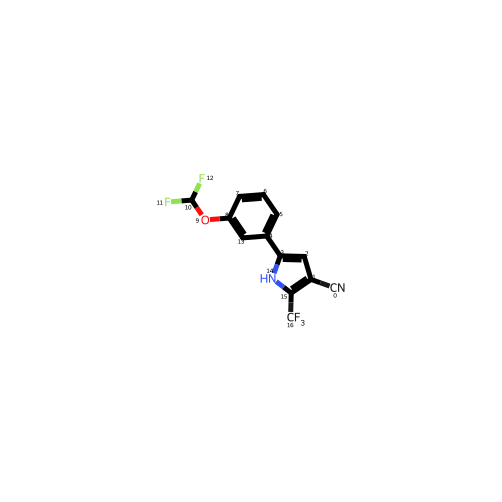 N#Cc1cc(-c2cccc(OC(F)F)c2)[nH]c1C(F)(F)F